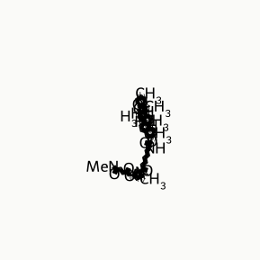 CNC(=O)CCC(=O)O[C@@H]1C[C@@H](C)N(C(=O)CCCCCNC(=O)O[C@H]2CC[C@@]3(C)C(=CC[C@@]4(C)[C@@H]5C[C@@H]6OC7(CC[C@@H](C)CO7)[C@@H](C)[C@@H]6[C@@]5(C)CC[C@@H]43)C2)C1